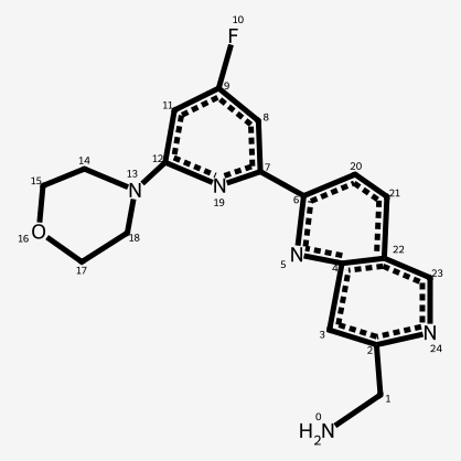 NCc1cc2nc(-c3cc(F)cc(N4CCOCC4)n3)ccc2cn1